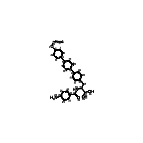 CCCCCCCOc1ccc(-c2cnc(-c3ccc(C[C@H](NC(=O)c4ccc(N)cc4)C(O)O)cc3)nc2)cc1